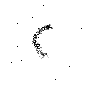 C[Si](C)(C)CCOCN1C(=O)CCN(c2cc(F)cc3c2ccn3C2CCN(CC3CCN(c4ccc(C(=O)N[C@H]5CC[C@H](Oc6ccc(C#N)c(Cl)c6)CC5)nn4)CC3)CC2)C1=O